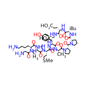 CC[C@H](C)[C@H](NC(=O)[C@@H]1CCCN1C(=O)[C@@H]1CCCN1C(=O)[C@H](C)NC(=O)[C@H](Cc1ccc(O)cc1)NC(=O)[C@H](CCSC)NC(=O)[C@H](C)NC(=O)[C@H](CCCCN)NC(=O)CN)C(=O)N[C@@H](CCC(=O)O)C(=O)NCC(=O)O